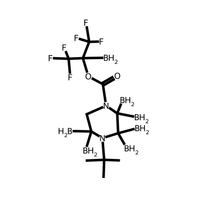 BC1(B)CN(C(=O)OC(B)(C(F)(F)F)C(F)(F)F)C(B)(B)C(B)(B)N1C(C)(C)C